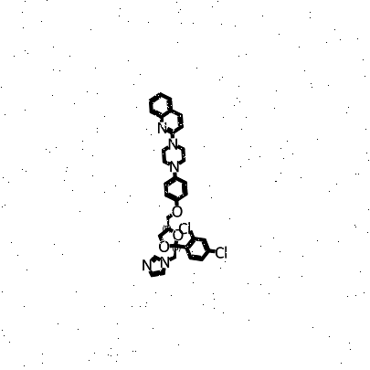 Clc1ccc([C@]2(Cn3ccnc3)OC[C@@H](COc3ccc(N4CCN(c5ccc6ccccc6n5)CC4)cc3)O2)c(Cl)c1